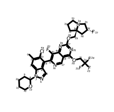 Cc1cc2c(cnn2C2CCCCO2)c(-c2ncc3c(OCC(F)(F)F)nc(OC[C@@]45CCCN4C[C@H](F)C5)nc3c2F)c1Cl